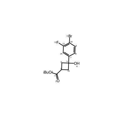 CC(C)COC(=O)C1CC(O)(c2ccc(Br)c(F)c2)C1